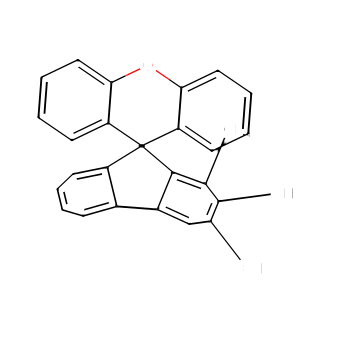 Cc1cc2c(c(C)c1C)C1(c3ccccc3Oc3ccccc31)c1ccccc1-2